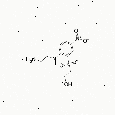 NCCNc1ccc([N+](=O)[O-])cc1S(=O)(=O)CCO